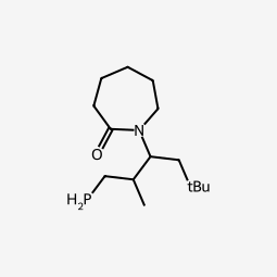 CC(CP)C(CC(C)(C)C)N1CCCCCC1=O